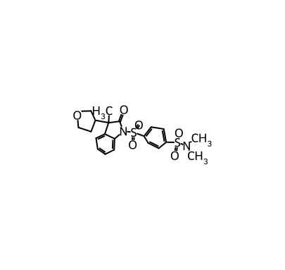 CN(C)S(=O)(=O)c1ccc(S(=O)(=O)N2C(=O)C(C)(C3CCOCC3)c3ccccc32)cc1